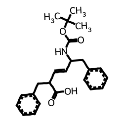 CC(C)(C)OC(=O)NC(C=CC(Cc1ccccc1)C(=O)O)Cc1ccccc1